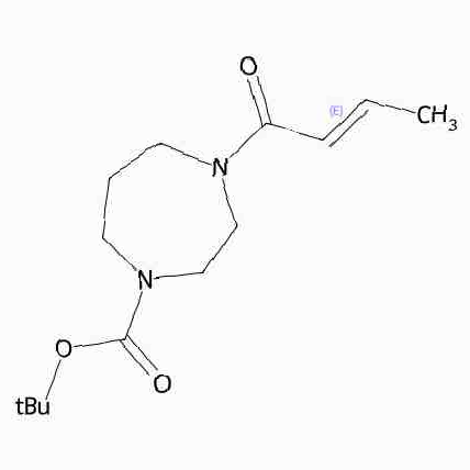 C/C=C/C(=O)N1CCCN(C(=O)OC(C)(C)C)CC1